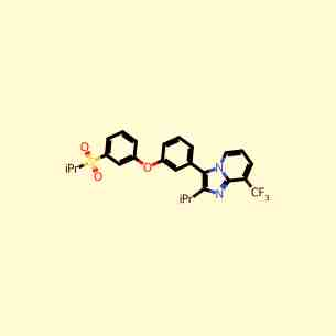 CC(C)c1nc2c(C(F)(F)F)cccn2c1-c1cccc(Oc2cccc(S(=O)(=O)C(C)C)c2)c1